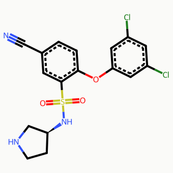 N#Cc1ccc(Oc2cc(Cl)cc(Cl)c2)c(S(=O)(=O)N[C@H]2CCNC2)c1